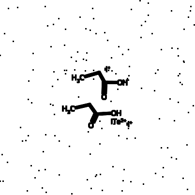 CCC(=O)O.CCC(=O)O.[I+].[I+].[Te+2]